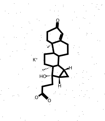 C[C@]12CCC(=O)C=C1CCC1C2CC[C@@]2(C)C1[C@@H]1C[C@@H]1[C@@]2(O)CCC(=O)[O-].[K+]